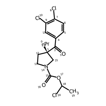 CCC[C@]1(C(=O)c2ccc(Cl)c(Cl)c2)CCN(C(=O)OC(C)Cl)C1